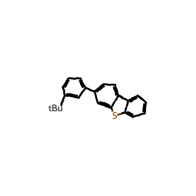 CC(C)(C)c1cccc(-c2ccc3c(c2)sc2ccccc23)c1